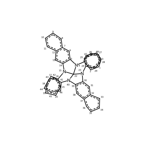 c1ccc(N2c3cc4ccccc4cc3N(c3ccccc3)C23N(c2ccccc2)c2cc4ccccc4cc2N3c2ccccc2)cc1